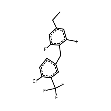 CCc1cc(F)c(Cc2ccc(Cl)c(C(F)(F)F)c2)c(F)c1